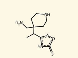 CC(c1noc(=S)[nH]1)C1(CN)CCNCC1